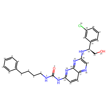 O=C(NCCCCc1ccccc1)Nc1ccc2ncc(N[C@H](CO)c3cccc(Cl)c3)nc2n1